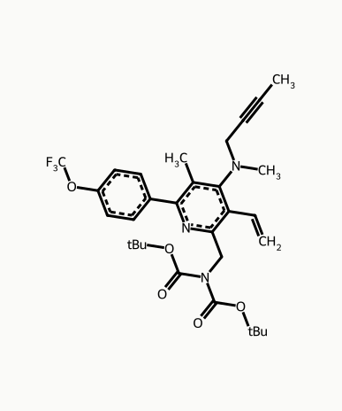 C=Cc1c(CN(C(=O)OC(C)(C)C)C(=O)OC(C)(C)C)nc(-c2ccc(OC(F)(F)F)cc2)c(C)c1N(C)CC#CC